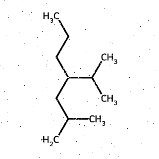 [CH2]C(C)CC(CCC)C(C)C